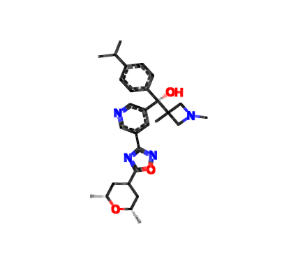 CC(C)c1ccc([C@](O)(c2cncc(-c3noc(C4C[C@@H](C)O[C@@H](C)C4)n3)c2)C2(C)CN(C)C2)cc1